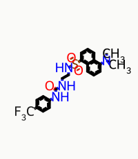 CN(C)c1cccc2c(S(=O)(=O)NCCNC(=O)Nc3ccc(C(F)(F)F)cc3)cccc12